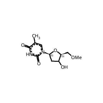 COC[C@@H]1O[C@H](n2cc(C)c(=O)[nH]c2=O)CC1O